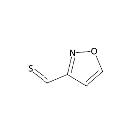 S=Cc1ccon1